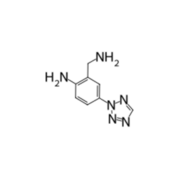 NCc1cc(-n2ncnn2)ccc1N